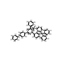 CP(C)(=O)c1ccc2c(c1)C1(c3ccccc3-c3ccc(-c4nc(-c5ccccc5)nc(-c5ccc(-c6ccccc6)cc5)n4)cc31)c1ccccc1-2